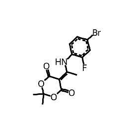 CC(Nc1ccc(Br)cc1F)=C1C(=O)OC(C)(C)OC1=O